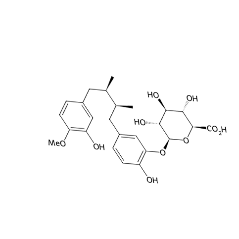 COc1ccc(C[C@@H](C)[C@@H](C)Cc2ccc(O)c(O[C@@H]3O[C@H](C(=O)O)[C@@H](O)[C@H](O)[C@H]3O)c2)cc1O